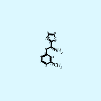 Cc1cccc(CC(N)c2nccs2)c1